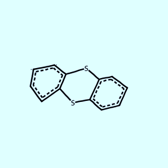 [c]1[c]c2c(cc1)Sc1ccccc1S2